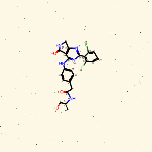 C[C@@H](CO)NC(=O)Cc1ccc(Nc2nc(-c3c(F)cccc3F)nc3c2C(=O)NC3)cc1